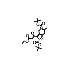 CCOC(=O)CC(=O)c1c2c(nn1C(=O)OC(C)(C)C)CC(C)N(C(=O)OC(C)(C)C)C2